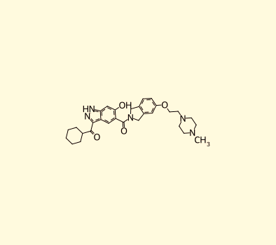 CN1CCN(CCOc2ccc3c(c2)CN(C(=O)c2cc4c(C(=O)C5CCCCC5)n[nH]c4cc2O)C3)CC1